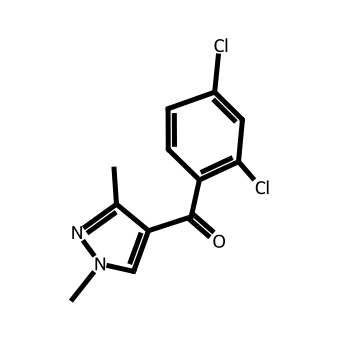 Cc1nn(C)cc1C(=O)c1ccc(Cl)cc1Cl